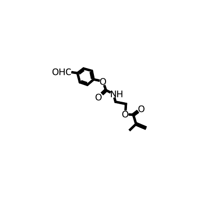 C=C(C)C(=O)OCCNC(=O)Oc1ccc(C=O)cc1